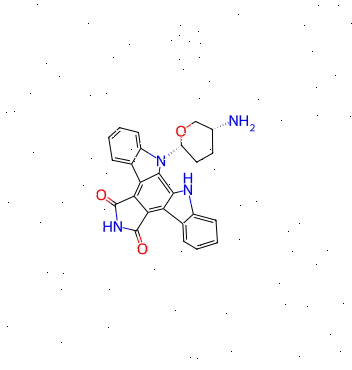 N[C@@H]1CC[C@H](n2c3ccccc3c3c4c(c5c6ccccc6[nH]c5c32)C(=O)NC4=O)OC1